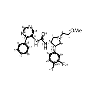 COCCN1C[C@@H](NC(=O)Nc2cncnc2-c2ccccc2)[C@H](c2ccc(F)c(F)c2)C1